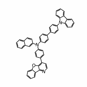 c1ccc2cc(N(c3ccc(-c4ccc(-n5c6ccccc6c6ccccc65)cc4)cc3)c3ccc(-c4ccnc5c4oc4ccccc45)cc3)ccc2c1